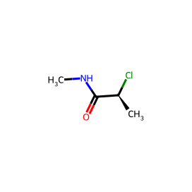 CNC(=O)[C@H](C)Cl